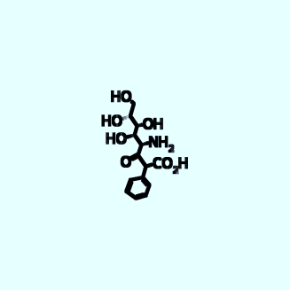 N[C@@H](C(=O)C(C(=O)O)c1ccccc1)[C@@H](O)[C@H](O)[C@H](O)CO